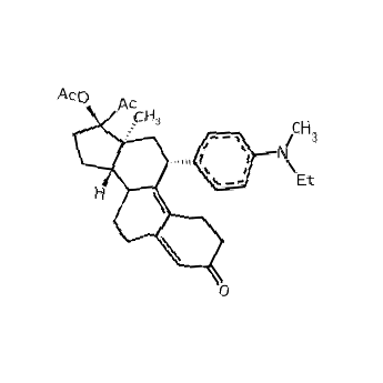 CCN(C)c1ccc([C@H]2C[C@@]3(C)[C@@H](CC[C@]3(OC(C)=O)C(C)=O)C3CCC4=CC(=O)CCC4=C32)cc1